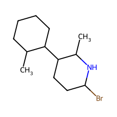 CC1CCCCC1C1CCC(Br)NC1C